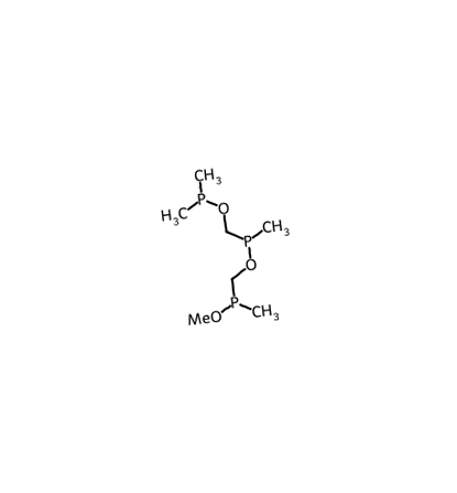 COP(C)COP(C)COP(C)C